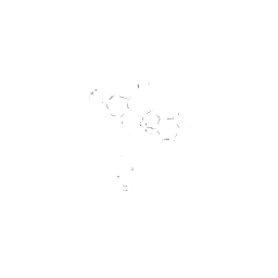 COc1ccc2c(c1)OCCc1c-2n(CCCCCBr)c2ccccc12